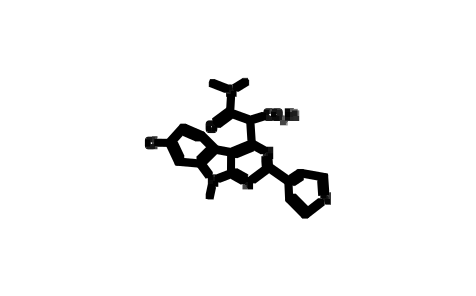 CCOC(=O)C(C(=O)N(C)C)c1nc(-c2ccncc2)nc2c1c1ccc(Cl)cc1n2C